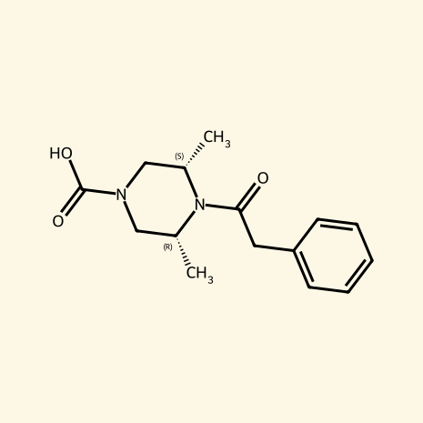 C[C@@H]1CN(C(=O)O)C[C@H](C)N1C(=O)Cc1ccccc1